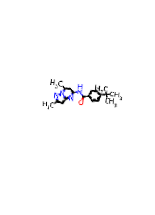 Cc1cc2nc(NC(=O)c3ccc(C(C)(C)C)cc3)cc(C)n2n1